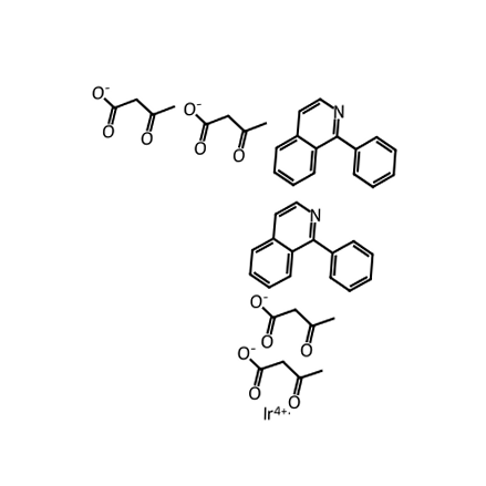 CC(=O)CC(=O)[O-].CC(=O)CC(=O)[O-].CC(=O)CC(=O)[O-].CC(=O)CC(=O)[O-].[Ir+4].c1ccc(-c2nccc3ccccc23)cc1.c1ccc(-c2nccc3ccccc23)cc1